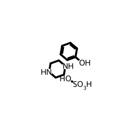 C1CNCCN1.O=S(=O)(O)O.Oc1ccccc1